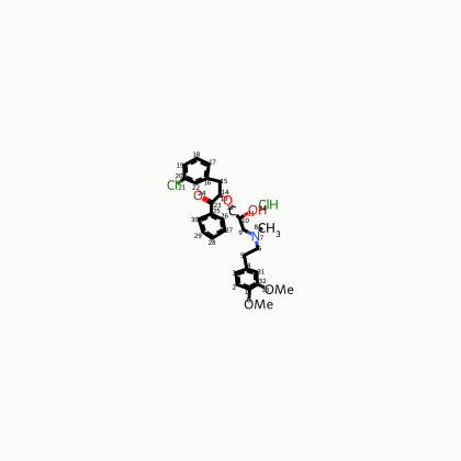 COc1ccc(CCN(C)CC(O)COC(Cc2cccc(Cl)c2)C(=O)c2ccccc2)cc1OC.Cl